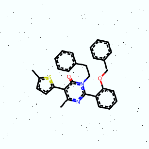 Cc1ccc(-c2c(C)nc(-c3ccccc3OCc3ccccc3)n(CCc3ccccc3)c2=O)s1